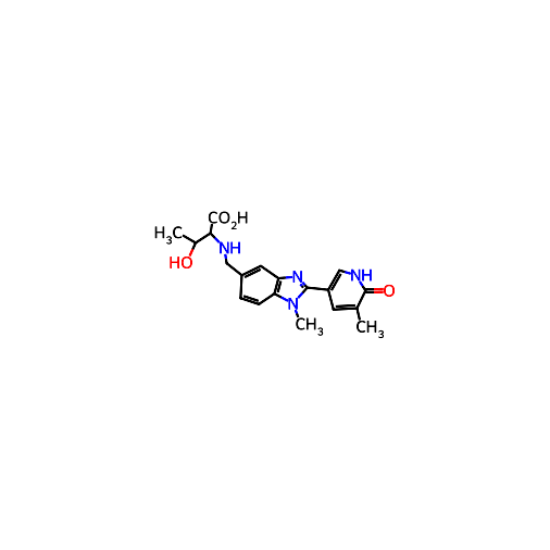 Cc1cc(-c2nc3cc(CNC(C(=O)O)C(C)O)ccc3n2C)c[nH]c1=O